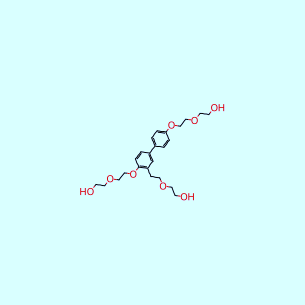 OCCOCCOc1ccc(-c2ccc(OCCOCCO)c(CCOCCO)c2)cc1